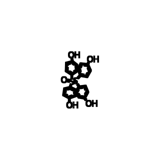 O=S(c1ccc(O)cc1)(c1ccc(O)cc1)=S(c1ccc(O)cc1)c1ccc(O)cc1